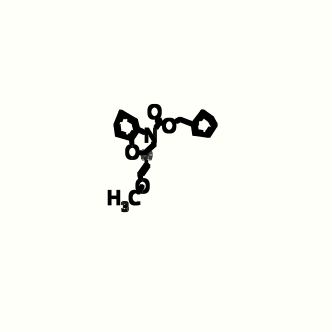 COC=C[C@H]1CN(C(=O)OCc2ccccc2)c2ccccc2O1